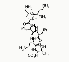 CC(C)C[C@H](NC(=O)[C@@H](CC(C)C)NC(=O)[C@H](CCCN)NC(=O)[C@@H](N)CCN)C(=O)N[C@@H](CCN)C(=O)N[C@H](C(=O)O)[C@@H](C)O